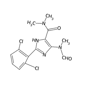 CN(C)C(=O)c1[nH]c(-c2c(Cl)cccc2Cl)nc1N(C)C=O